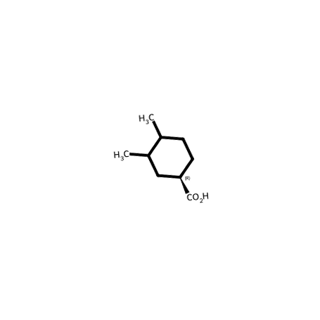 CC1CC[C@@H](C(=O)O)CC1C